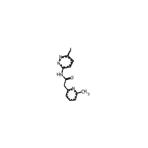 Cc1cccc(CC(=O)Nc2ccc(I)nn2)n1